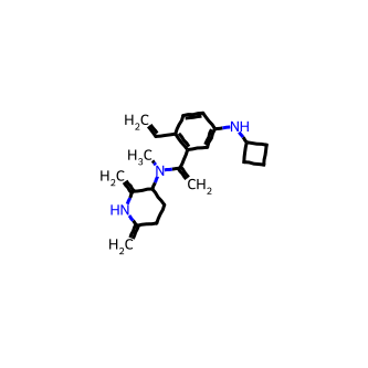 C=Cc1ccc(NC2CCC2)cc1C(=C)N(C)C1CCC(=C)NC1=C